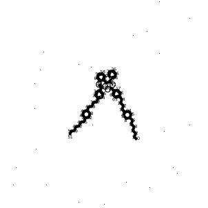 CCCCCCCC1CCC(CCCCc2ccc(C(=O)O[C@H](c3ccccc3)[C@H](OC(=O)c3ccc(CCCCC4CCC(CCCCCCC)CC4)cc3)c3ccccc3)cc2)CC1